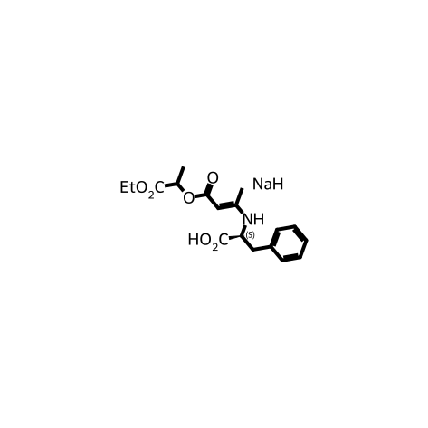 CCOC(=O)C(C)OC(=O)C=C(C)N[C@@H](Cc1ccccc1)C(=O)O.[NaH]